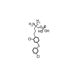 CC(N)(CCCc1ccc(Sc2cccc(Cl)c2)cc1Cl)COP(=O)(O)O